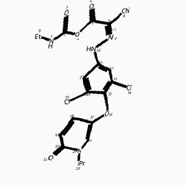 CCNC(=O)OC(=O)/C(C#N)=N\Nc1cc(Cl)c(Oc2ccc(=O)n(C(C)C)c2)c(Cl)c1